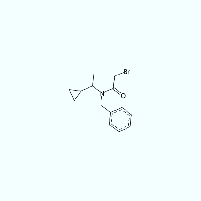 CC(C1CC1)N(Cc1ccccc1)C(=O)CBr